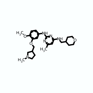 COc1ccc(Nc2nc(C)cc(NCC3CCOCC3)n2)cc1OCC1CCN(C)C1